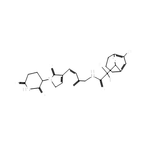 C=C(/C=C\C1=CCN(C2CCC(=O)NC2=O)C1=O)CNC(=O)C(F)(F)C1NC2=C(Br)C=C1CCC2